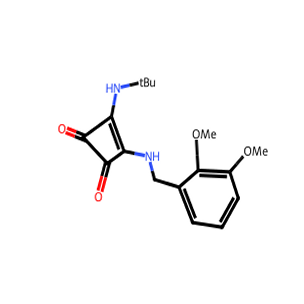 COc1cccc(CNc2c(NC(C)(C)C)c(=O)c2=O)c1OC